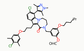 Cc1cc(OCCCc2c3n(c4c(-c5c(C)nn(C)c5C)c(Cl)ccc24)CCCN(Cc2cc(OC=O)cc(OCCCC(C)C)c2)C3=O)cc(C)c1Cl